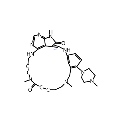 CN1CCN(c2ccc3cc2CN(C)CCCCC(=O)N(C)CCCNc2ncnc4c2/C(=C/N3)C(=O)N4)CC1